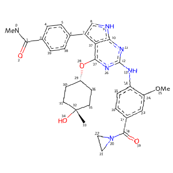 CNC(=O)c1ccc(-c2c[nH]c3nc(Nc4ccc(C(=O)N5CC5)cc4OC)nc(O[C@H]4CC[C@@](C)(O)CC4)c23)cc1